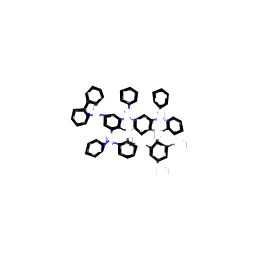 CC(C)c1cc(C(C)C)c(B2c3ccccc3N(c3ccccc3)c3cc4c(cc32)B2c3ccccc3N(c3ccccc3)c3cc(-n5c6ccccc6c6ccccc65)cc(c32)N4c2ccccc2)c(C(C)C)c1